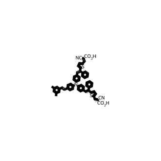 Cc1cc(C)cc(/C=C/c2ccc(N(c3ccc(/C=C(\c4ccccc4)c4ccc(/C=C(\C#N)C(=O)O)s4)cc3)c3ccc(/C=C(\c4ccccc4)c4ccc(/C=C(\C#N)C(=O)O)s4)cc3)cc2)c1